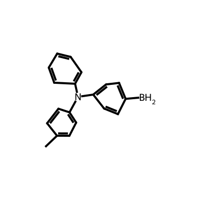 Bc1ccc(N(c2ccccc2)c2ccc(C)cc2)cc1